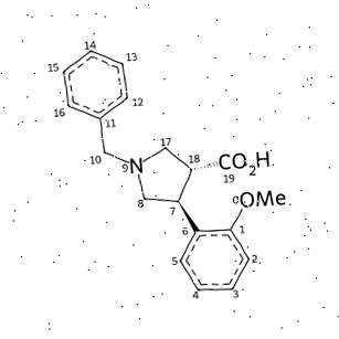 COc1ccccc1[C@H]1CN(Cc2ccccc2)C[C@@H]1C(=O)O